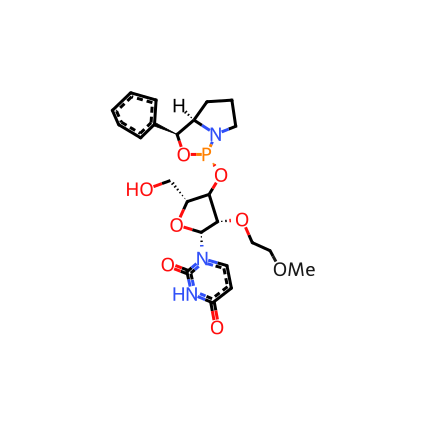 COCCO[C@H]1C(O[P@]2O[C@@H](c3ccccc3)[C@H]3CCCN32)[C@@H](CO)O[C@H]1n1ccc(=O)[nH]c1=O